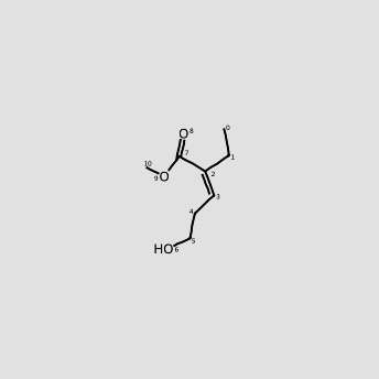 CCC(=CCCO)C(=O)OC